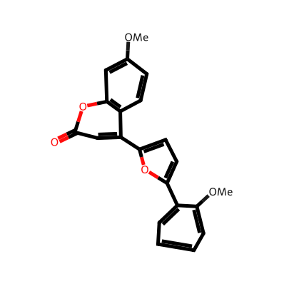 COc1ccc2c(-c3ccc(-c4ccccc4OC)o3)cc(=O)oc2c1